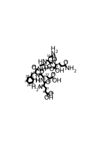 NC(=O)CC[C@H](NC(=O)[C@H](CC(N)=O)NC(=O)CNC(=O)[C@H](Cc1ccccc1)NC(=O)[C@H](CCC(=O)O)NC(=O)[C@@H](N)CCC(=O)O)C(=O)O